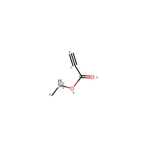 C#CC(=O)O[SiH2]C